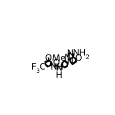 COc1cc(NC(=O)Nc2ccc(-n3ccc(=O)c4c(N)ncnc43)cc2)cc(C(F)(F)F)c1